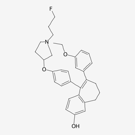 CCOc1cccc(C2=C(c3ccc(OC4CCN(CCCF)C4)cc3)c3ccc(O)cc3CCC2)c1